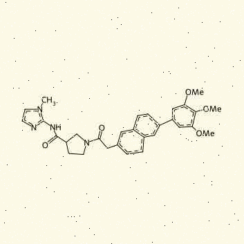 COc1cc(-c2ccc3cc(CC(=O)N4CCC(C(=O)Nc5nccn5C)C4)ccc3c2)cc(OC)c1OC